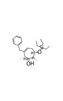 CC[Si](CC)(CC)O[C@@H]1CC=C(Cc2ccccc2)[C@@H](C)[C@@H](O)[C@H]1C